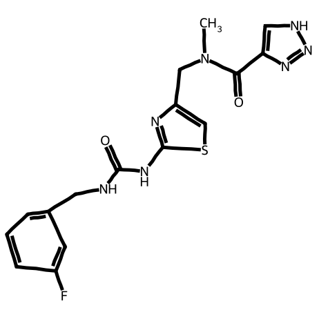 CN(Cc1csc(NC(=O)NCc2cccc(F)c2)n1)C(=O)c1c[nH]nn1